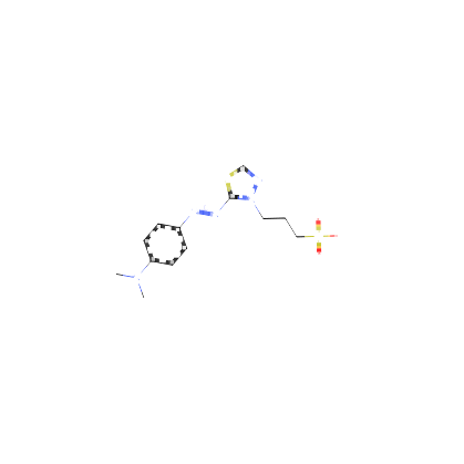 CN(C)c1ccc(/N=N/c2scn[n+]2CCCS(=O)(=O)[O-])cc1